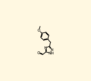 COc1ccc(Cc2n[nH]c(C=O)n2)cc1